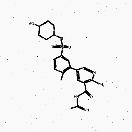 CC(=N)NC(=O)c1cc(-c2cc(S(=O)(=O)NC3CCC(O)CC3)ccc2C)cnc1N